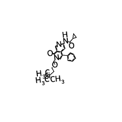 C[Si](C)(C)CCOCn1cc(-c2ccccc2)c2cc(NC(=O)C3CC3)ncc2c1=O